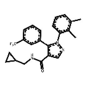 Cc1cccc(-n2ncc(C(=O)NCC3CC3)c2-c2cccc(C(F)(F)F)c2)c1C